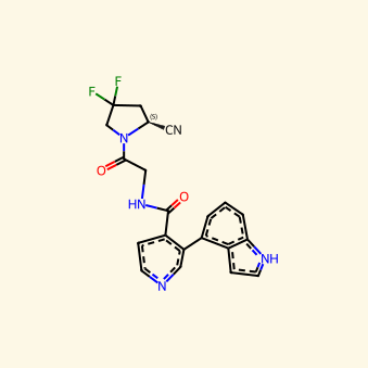 N#C[C@@H]1CC(F)(F)CN1C(=O)CNC(=O)c1ccncc1-c1cccc2[nH]ccc12